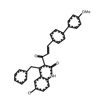 COc1ccc(-c2ccc(/C=C/C(=O)c3c(Cc4ccccc4)c4cc(Cl)ccc4[nH]c3=O)cc2)cc1